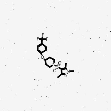 Cc1nn(C)c(C)c1S(=O)(=O)N1CCC(Oc2ccc(C(F)(F)F)cc2)CC1